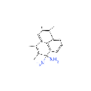 CC1=C(C)C(N)(N)c2cccc3c(C)c(C)cc1c23